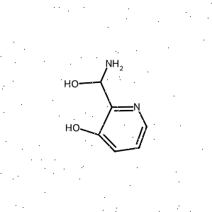 NC(O)c1ncccc1O